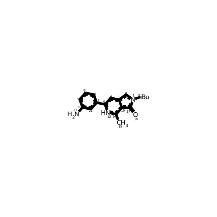 CCC(C)n1cc2cc(-c3cccc(N)c3)[nH]c(C)c-2c1=O